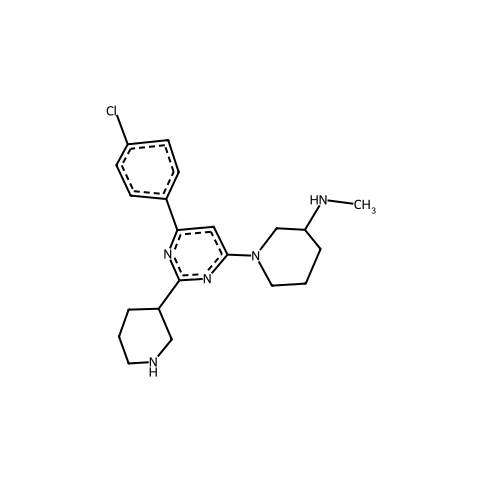 CNC1CCCN(c2cc(-c3ccc(Cl)cc3)nc(C3CCCNC3)n2)C1